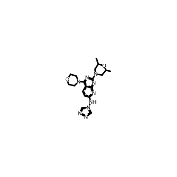 CC1CN(c2nc(N3CCOCC3)c3ccc(Nn4cnnc4)nc3n2)CC(C)O1